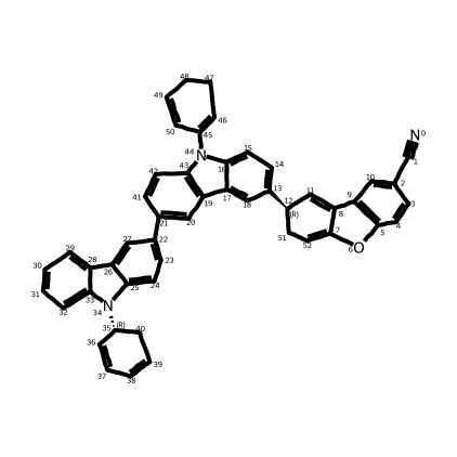 N#Cc1ccc2oc3c(c2c1)=C[C@H](c1ccc2c(c1)c1cc(-c4ccc5c(c4)c4ccccc4n5[C@H]4C=CC=CC4)ccc1n2C1=CCCC=C1)CC=3